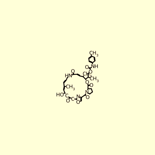 CC1=C\C(O)CC(=O)Cc2nc(co2)C(=O)N2CCCC2C(=O)OC(C(C)COC(=O)Nc2ccc(C)cc2)C(C)/C=C/C(=O)NC\C=C\1